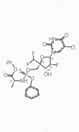 CC(C)OC(=O)[C@H](C)NP(=S)(OC[C@@]1(C(F)F)O[C@@H](n2cc(Cl)c(=O)[nH]c2=O)[C@@H](F)[C@@H]1O)Oc1ccccc1